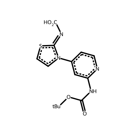 CC(C)(C)OC(=O)Nc1cc(-n2ccsc2=NC(=O)O)ccn1